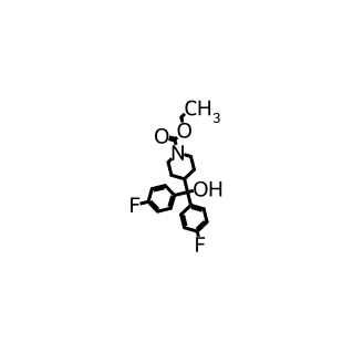 CCOC(=O)N1CCC(C(O)(c2ccc(F)cc2)c2ccc(F)cc2)CC1